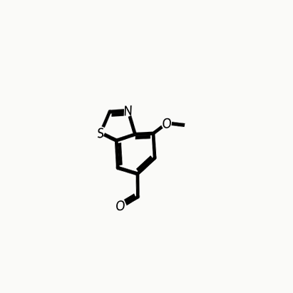 COc1cc(C=O)cc2scnc12